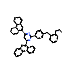 C/C=C\c1ccccc1Cc1ccc(-c2nc(-c3cc4ccccc4c4c3C=CCC4)cc(-c3cc4ccccc4c4ccccc34)n2)cc1